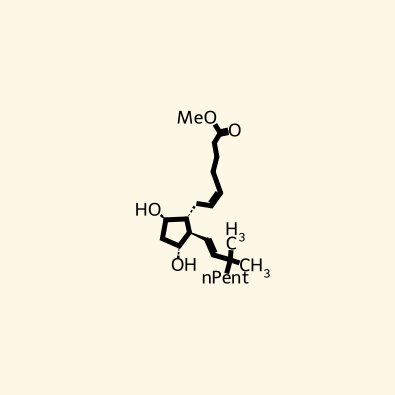 CCCCCC(C)(C)/C=C/[C@@H]1[C@@H](C/C=C\CCCC(=O)OC)[C@@H](O)C[C@H]1O